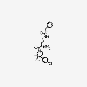 CC1(C)CN(C(=O)[C@H](N)CCCNC(=O)OCc2ccccc2)CC[C@]1(O)c1ccc(Cl)cc1